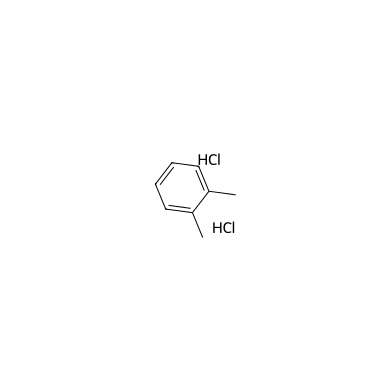 Cc1ccccc1C.Cl.Cl